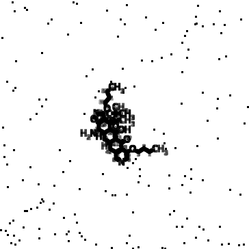 CCCCOc1cncc2c1C(=O)C1=C(O)[C@]3(O[Si](C)(C)C(C)(C)C)C(=O)c4c(OCCCC)noc4[C@@H](N)[C@@H]3C[C@@H]1C2